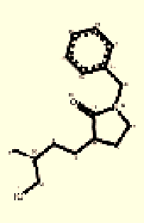 C[C@H](CO)CCC1CCN(Cc2ccccc2)C1=O